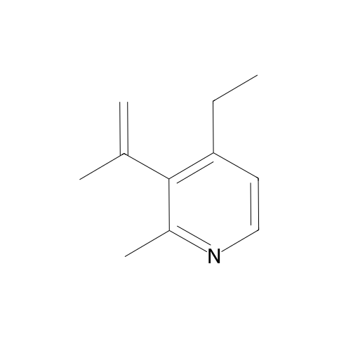 C=C(C)c1c(CC)ccnc1C